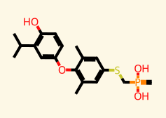 C=P(O)(O)CSc1cc(C)c(Oc2ccc(O)c(C(C)C)c2)c(C)c1